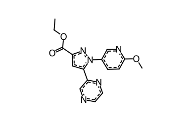 CCOC(=O)c1cc(-c2cnccn2)n(-c2ccc(OC)nc2)n1